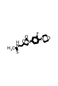 CC(=S)NCC1CN(c2ccc(N3CCOCC3)c(F)c2)C(=O)O1